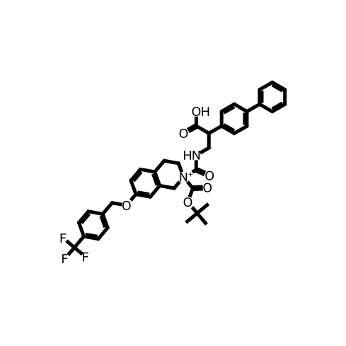 CC(C)(C)OC(=O)[N+]1(C(=O)NCC(C(=O)O)c2ccc(-c3ccccc3)cc2)CCc2ccc(OCc3ccc(C(F)(F)F)cc3)cc2C1